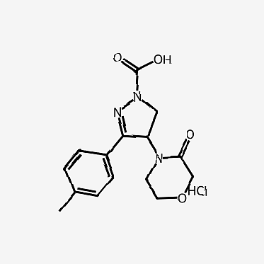 Cc1ccc(C2=NN(C(=O)O)CC2N2CCOCC2=O)cc1.Cl